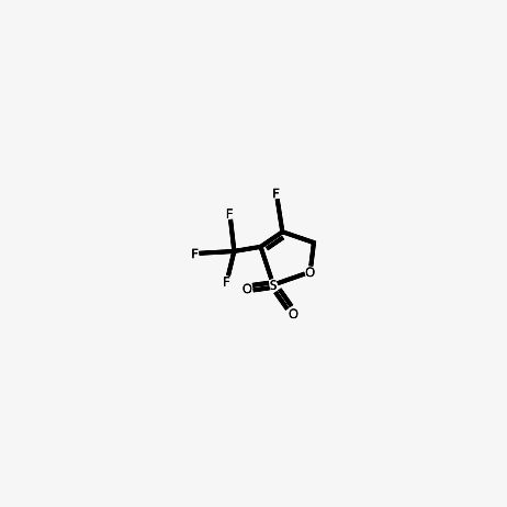 O=S1(=O)OCC(F)=C1C(F)(F)F